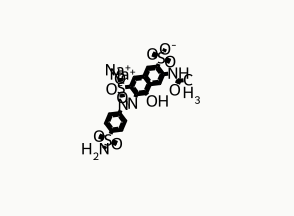 CC(=O)Nc1cc2c(O)c(/N=N/c3ccc(S(N)(=O)=O)cc3)c(S(=O)(=O)[O-])cc2cc1S(=O)(=O)[O-].[Na+].[Na+]